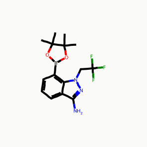 CC1(C)OB(c2cccc3c(N)nn(CC(F)(F)F)c23)OC1(C)C